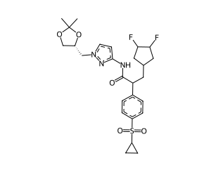 CC1(C)OC[C@@H](Cn2ccc(NC(=O)C(CC3CC(F)C(F)C3)c3ccc(S(=O)(=O)C4CC4)cc3)n2)O1